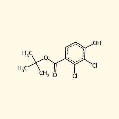 CC(C)(C)OC(=O)c1ccc(O)c(Cl)c1Cl